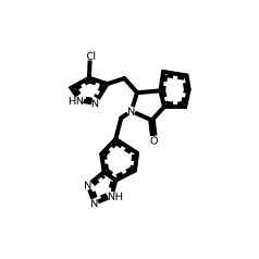 O=C1c2ccccc2C(Cc2n[nH]cc2Cl)N1Cc1ccc2[nH]nnc2c1